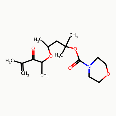 C=C(C)C(=O)C(C)OC(C)CC(C)(C)OC(=O)N1CCOCC1